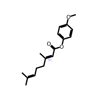 COc1ccc(OC(=O)/C=C(\C)CCC=C(C)C)cc1